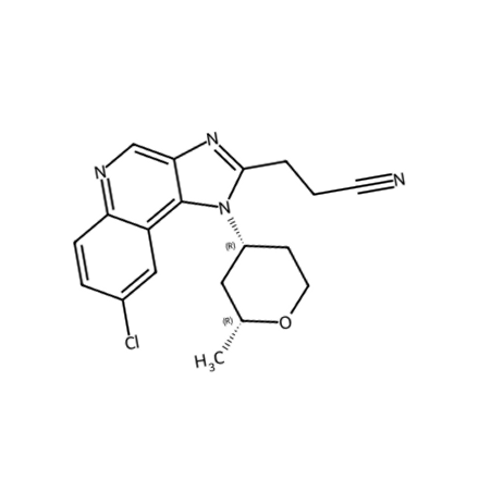 C[C@@H]1C[C@H](n2c(CCC#N)nc3cnc4ccc(Cl)cc4c32)CCO1